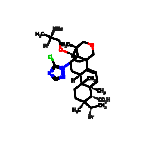 CN[C@@](C)(CO[C@H]1[C@H](n2ncnc2Cl)C[C@@]23COC[C@]1(C)[C@@H]2CC[C@H]1C3=CC[C@@]2(C)[C@H](C(=O)O)[C@@](C)([C@H](C)C(C)C)CC[C@]12C)C(C)C